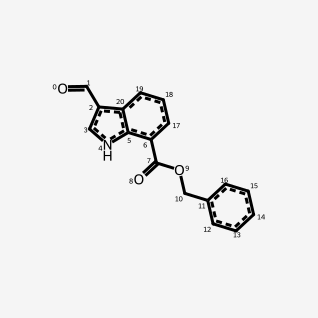 O=Cc1c[nH]c2c(C(=O)OCc3ccccc3)cccc12